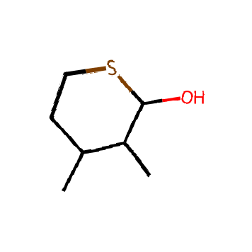 CC1CCSC(O)C1C